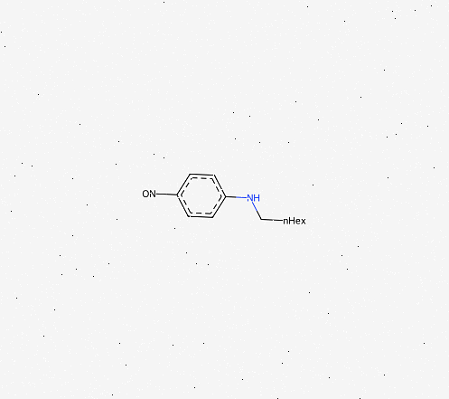 CCCCCCCNc1ccc(N=O)cc1